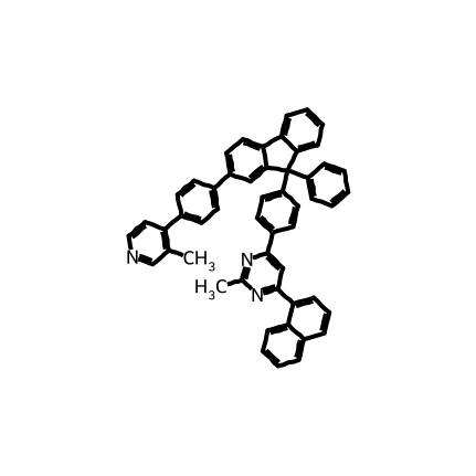 Cc1nc(-c2ccc(C3(c4ccccc4)c4ccccc4-c4ccc(-c5ccc(-c6ccncc6C)cc5)cc43)cc2)cc(-c2cccc3ccccc23)n1